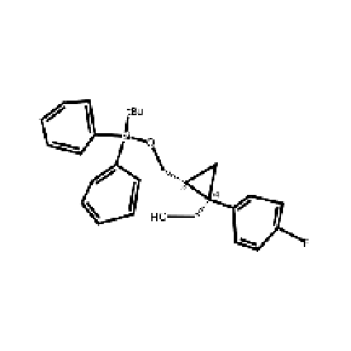 CC(C)(C)[Si](OC[C@@H]1C[C@@]1(CO)c1ccc(F)cc1)(c1ccccc1)c1ccccc1